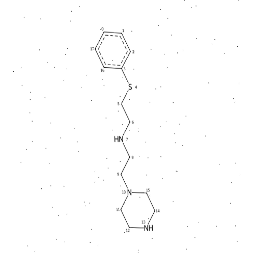 c1ccc(SCCNCCN2CCNCC2)cc1